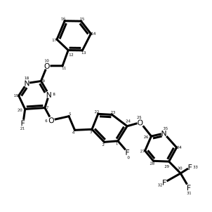 Fc1cc(CCOc2nc(OCc3ccccc3)ncc2F)ccc1Oc1ccc(C(F)(F)F)cn1